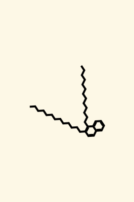 CCCCCCCCCCCCCc1ccc2ccccc2c1CCCCCCCCCCCCC